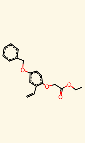 C=Cc1cc(OCc2ccccc2)ccc1OCC(=O)OCC